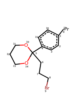 CC(C)c1ccc(C2(CCCBr)OCCCO2)cc1